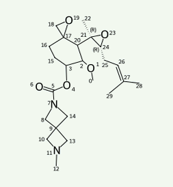 COC1C(OC(=O)N2CC3(CN(C)C3)C2)CCC2(CO2)C1[C@@]1(C)O[C@@H]1CC=C(C)C